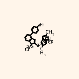 CC(C)C1=Cc2c(-c3ccc(C(C)C)cc3)cccc2[CH]1[Zr+2].CC1=C2c3cc(C)sc3C1[Si]2(C)C.[Cl-].[Cl-]